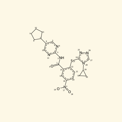 O=C(Nc1ncc(C2CCCC2)cn1)c1cc([N+](=O)[O-])ccc1Sc1nncn1C1CC1